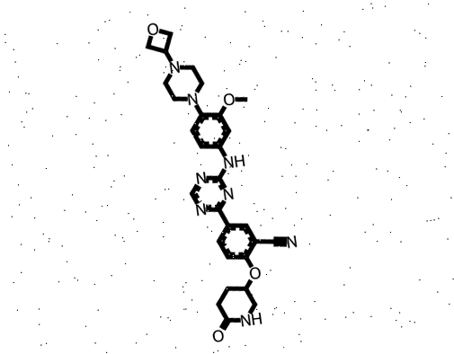 COc1cc(Nc2ncnc(-c3ccc(OC4CCC(=O)NC4)c(C#N)c3)n2)ccc1N1CCN(C2COC2)CC1